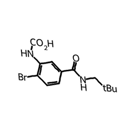 CC(C)(C)CNC(=O)c1ccc(Br)c(NC(=O)O)c1